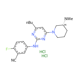 CCCCc1cc(N2CCC[C@@H](NC)C2)nc(Nc2ccc(F)c(C#N)c2)n1.Cl.Cl